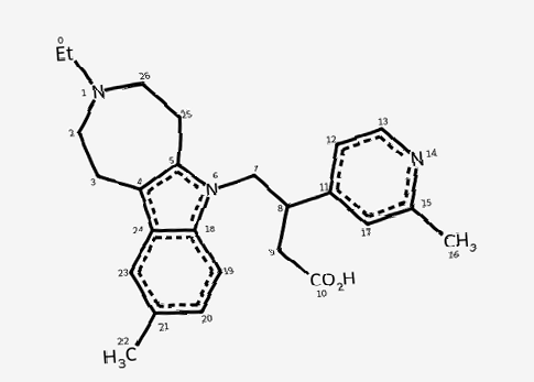 CCN1CCc2c(n(CC(CC(=O)O)c3ccnc(C)c3)c3ccc(C)cc23)CC1